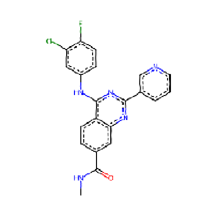 CNC(=O)c1ccc2c(Nc3ccc(F)c(Cl)c3)nc(-c3cccnc3)nc2c1